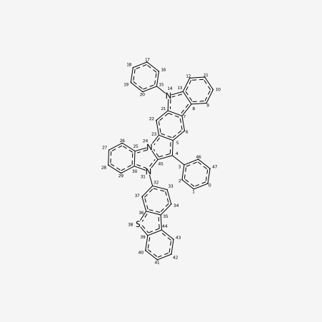 c1ccc(-c2c3cc4c5ccccc5n(-c5ccccc5)c4cc3n3c4ccccc4n(-c4ccc5c(c4)sc4ccccc45)c23)cc1